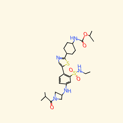 CCNS(=O)(=O)c1cc(NC2CN(C(=O)C(C)C)C2)ccc1-c1cnc(C2CCC(NC(=O)OC(C)C)CC2)s1